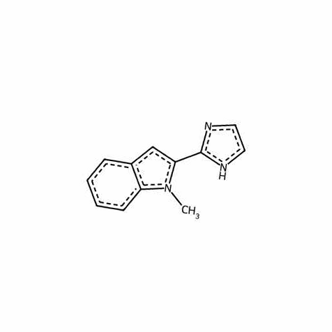 Cn1c(-c2ncc[nH]2)cc2ccccc21